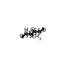 CC1=C(C2=C(C)S/C(=C3/SC=C(C4CO4)S3)S2)S/C(=C2\SC=C(C3CO3)S2)S1